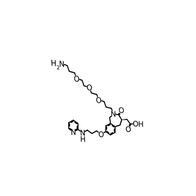 NCCCOCCOCCOCCCN1Cc2cc(OCCCNc3ccccn3)ccc2C[C@H](CC(=O)O)C1=O